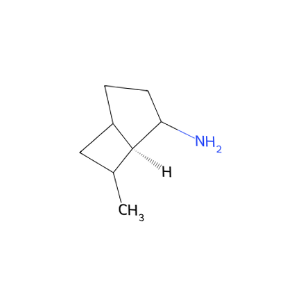 CC1CC2CCC(N)[C@@H]12